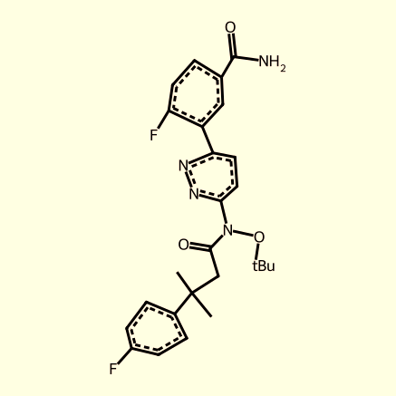 CC(C)(C)ON(C(=O)CC(C)(C)c1ccc(F)cc1)c1ccc(-c2cc(C(N)=O)ccc2F)nn1